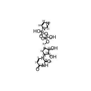 O=c1ccn([C@H]2C[C@H](COP(=O)(O)OP(=O)(O)n3ccnc3)[C@@H](O)[C@@H]2O)c(=O)[nH]1